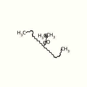 CCCC/C=C\C/C=C\CCCCCCCCC(CCCCCCCC/C=C\C/C=C\CCCC)COC(=O)CCN(C)C